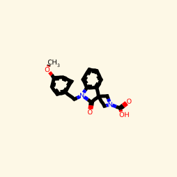 COc1ccc(CN2C(=O)C3(CN(C(=O)O)C3)c3ccccc32)cc1